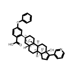 C[C@]12CC[C@H](c3cc(Oc4ccccc4)ccc3C(=O)O)C[C@H]1CC[C@@H]1[C@@H]2CC[C@]2(C)C(c3cccnc3)=CC[C@@H]12